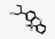 CCC(CO)c1ccc2c(c1)S(=O)(=O)c1ccccc1O2